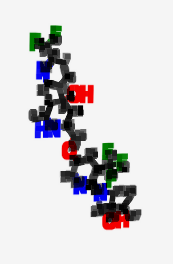 CC1CC(O)(c2ccc(C(F)F)nc2)CC(COc2cnc(N3CC(O)(C(C)C)C3)c(C(F)(F)F)c2)N1